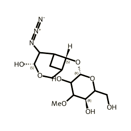 COC1C(O)[C@H](O[C@@H]2C3CO[C@H](O)C(N=[N+]=[N-])C2C3)OC(CO)[C@H]1O